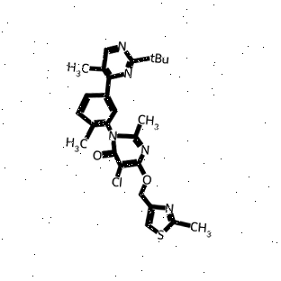 Cc1nc(COc2nc(C)n(-c3cc(-c4nc(C(C)(C)C)ncc4C)ccc3C)c(=O)c2Cl)cs1